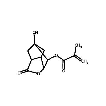 C=C(C)C(=O)OC1C2OC(=O)C3CC1(C#N)CC32